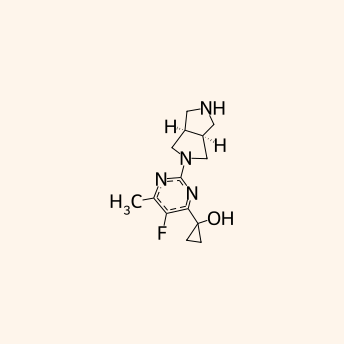 Cc1nc(N2C[C@H]3CNC[C@H]3C2)nc(C2(O)CC2)c1F